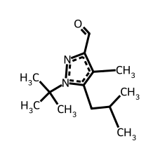 Cc1c(C=O)nn(C(C)(C)C)c1CC(C)C